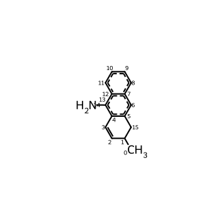 CC1C=Cc2c(cc3ccccc3c2N)C1